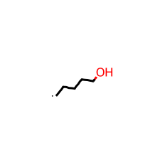 [CH2]CCCCO